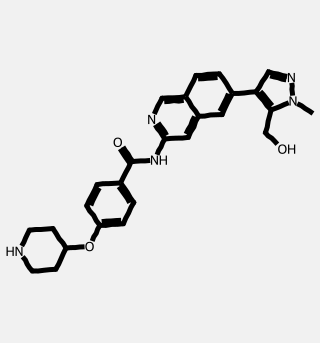 Cn1ncc(-c2ccc3cnc(NC(=O)c4ccc(OC5CCNCC5)cc4)cc3c2)c1CO